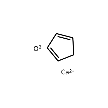 C1=CCC=C1.[Ca+2].[O-2]